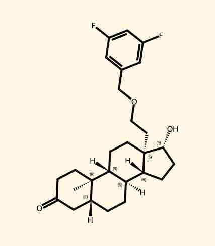 C[C@@]12CCC(=O)C[C@H]1CC[C@H]1[C@H]2CC[C@@]2(CCOCc3cc(F)cc(F)c3)[C@H](O)CC[C@H]12